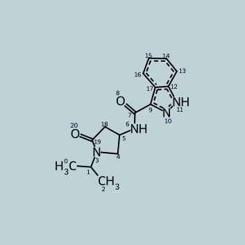 CC(C)N1CC(NC(=O)c2n[nH]c3ccccc23)CC1=O